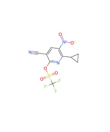 N#Cc1cc([N+](=O)[O-])c(C2CC2)nc1OS(=O)(=O)C(F)(F)F